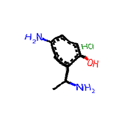 CC(N)c1cc(N)ccc1O.Cl